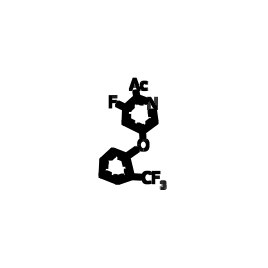 CC(=O)c1ncc(Oc2ccccc2C(F)(F)F)cc1F